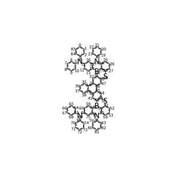 c1ccc(N(c2ccccc2)c2ccc3c(c2)N(c2ccccc2)c2cccc4c2B3c2cc3c5ccccc5c5cc6c(cc5c3cc2S4)Sc2cccc3c2B6c2ccc(N(c4ccccc4)c4ccccc4)cc2N3c2ccccc2)cc1